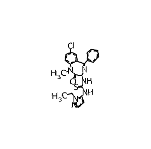 CCn1nccc1NC(=S)NC1N=C(c2ccccc2)c2cc(Cl)ccc2N(C)C1=O